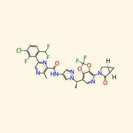 Cc1ncc(-c2c(C(F)F)ccc(Cl)c2F)nc1C(=O)Nc1cnn([C@H](C)c2cnc(N3C[C@H]4C[C@H]4C3=O)c3c2OC(F)(F)O3)c1